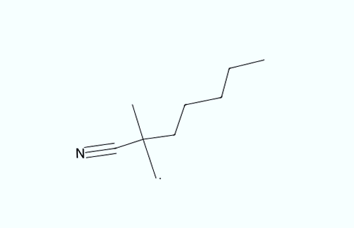 [CH2]C(C)(C#N)CCCCC